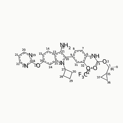 C[C@@H](OC(=O)Nc1ccc(-c2c(N)c3ccc(Oc4ncccn4)cc3n2C2CCC2)cc1OC(F)(F)F)C1CC1